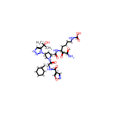 CC(C)(O)c1cnnn1[C@H]1C[C@@H](C(=O)NC(CCCCNC(=O)O)C(=O)C(N)=O)N(C(=O)[C@@H](CC2CCCCC2)NC(=O)c2cnoc2)C1